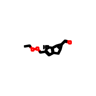 CCOOCC1=CC2=C(B1)C1C(C=O)C1C2